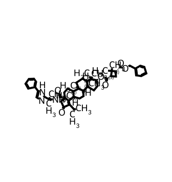 CC(C)C1=C2[C@H]3CC[C@@H]4[C@@]5(C)CC[C@H](OC(=O)[C@H]6C[C@@H](C(=O)OCc7ccccc7)C6(C)C)C(C)(C)[C@@H]5CC[C@@]4(C)[C@]3(C)CC[C@@]2(C(=O)NC(C)(C)c2ncc(-c3ccccc3)[nH]2)CC1=O